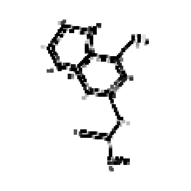 COC(=O)Oc1cc(C)c2nccnc2c1